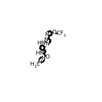 CN1CCN(C(=O)c2cc3cc(Nc4nccc(-c5cc(OCC(F)(F)F)ccn5)n4)ccc3[nH]2)CC1